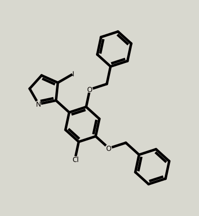 Clc1cc(C2=NCC=C2I)c(OCc2ccccc2)cc1OCc1ccccc1